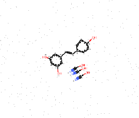 N#CO.N#CO.N#CO.Oc1ccc(C=Cc2cc(O)cc(O)c2)cc1